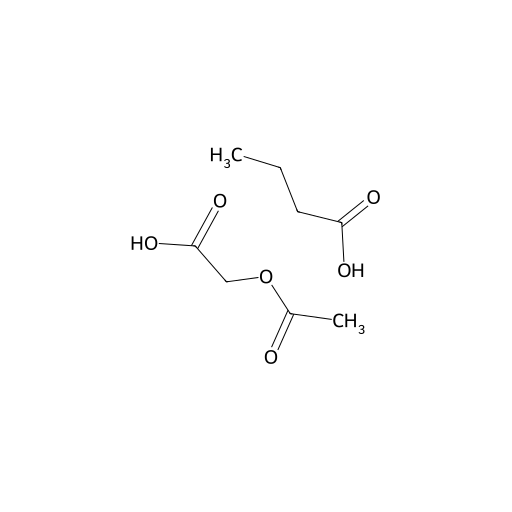 CC(=O)OCC(=O)O.CCCC(=O)O